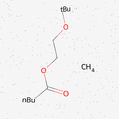 C.CCCCC(=O)OCCOC(C)(C)C